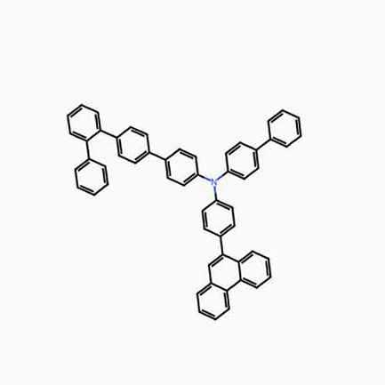 c1ccc(-c2ccc(N(c3ccc(-c4ccc(-c5ccccc5-c5ccccc5)cc4)cc3)c3ccc(-c4cc5ccccc5c5ccccc45)cc3)cc2)cc1